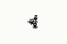 CC(C)n1cc(Nc2nc3ccc(S(C)(=O)=O)cc3c3cn[nH]c23)c(C#N)n1